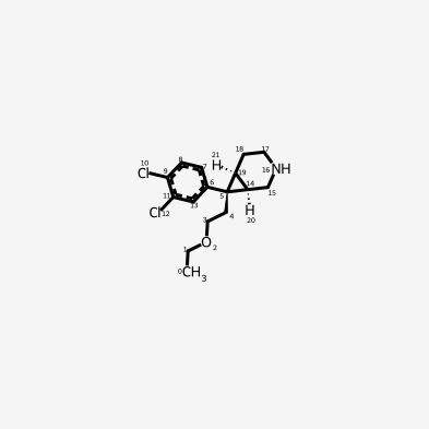 CCOCC[C@]1(c2ccc(Cl)c(Cl)c2)[C@@H]2CNCC[C@@H]21